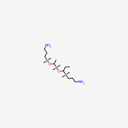 CCC(O[Si](C)(C)C(C)O[Si](C)(C)CCCN)[Si](C)(C)CCCN